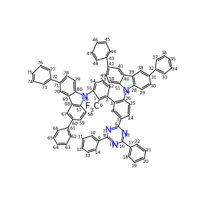 FC(F)(F)c1c(-c2cc(-c3nc(-c4ccccc4)nc(-c4ccccc4)n3)ccc2-n2c3ccc(-c4ccccc4)cc3c3cc(-c4ccccc4)ccc32)cccc1-n1c2ccc(-c3ccccc3)cc2c2cc(-c3ccccc3)ccc21